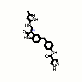 Cc1cc(N/C=C2\C(=O)Nc3ccc(Cc4ccc(NC(=O)c5cn[nH]c5)cc4)cc32)[nH]n1